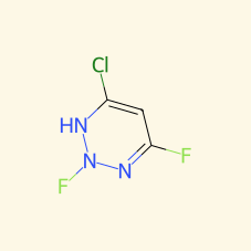 FC1=NN(F)NC(Cl)=C1